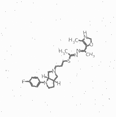 CC1=C(/C(C)=N/N=C(\C)SCCCN2C[C@@H]3CCN(c4ccc(F)cc4)[C@@H]3C2)OCN1